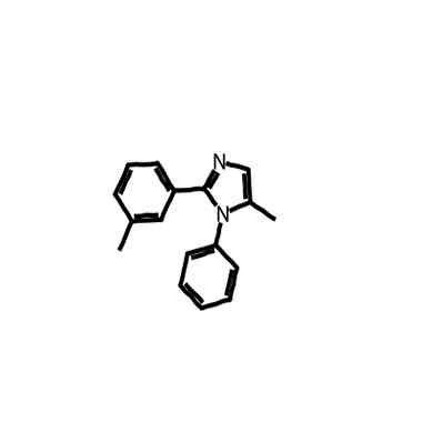 Cc1cccc(-c2ncc(C)n2-c2ccccc2)c1